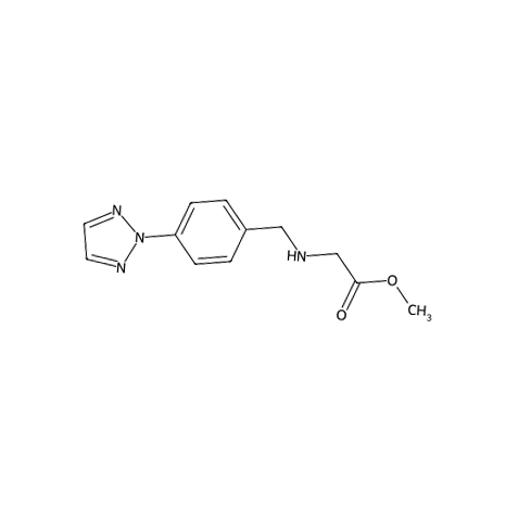 COC(=O)CNCc1ccc(-n2nccn2)cc1